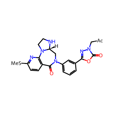 CSc1ccc2c(n1)N1CCN[C@@H]1CN(c1cccc(-c3nn(CC(C)=O)c(=O)o3)c1)C2=O